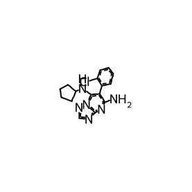 Nc1nc2ncnn2c(NC2CCCC2)c1-c1ccccc1Cl